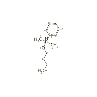 CCCCO[PH](C)(C)c1ccccc1